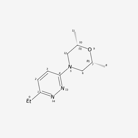 CCc1ccc(N2C[C@@H](C)O[C@@H](C)C2)nn1